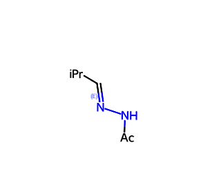 CC(=O)N/N=C/C(C)C